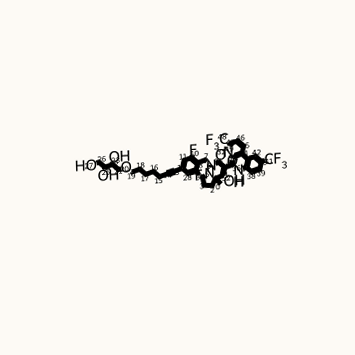 CC12CCCN1N(Cc1c(F)cc(C#CCCCCCOCC(O)C(O)CO)cc1F)C(=O)C(C(=O)Nc1ccc(C(F)(F)F)cc1-c1ccc(C(F)(F)F)nc1)=C2O